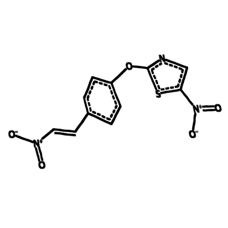 O=[N+]([O-])C=Cc1ccc(Oc2ncc([N+](=O)[O-])s2)cc1